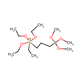 CCO[SH](CC)(CCC[Si](OC)(OC)OC)(OCC)OCC